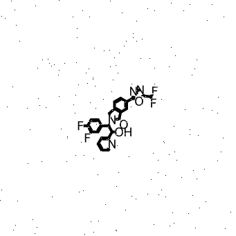 O=C1c2cc(-c3nnc(C(F)F)o3)ccc2CN1C(c1ccc(F)c(F)c1)C(O)c1ccccn1